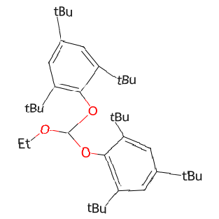 CCOC(Oc1c(C(C)(C)C)cc(C(C)(C)C)cc1C(C)(C)C)Oc1c(C(C)(C)C)cc(C(C)(C)C)cc1C(C)(C)C